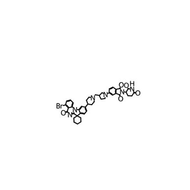 O=C1CCC(N2C(=O)c3ccc(N4CCC(CN5CCC(c6ccc7c(c6)-n6c(nc(=O)c8c(Br)cccc86)C76CCCCC6)CC5)C4)cc3C2=O)C(=O)N1